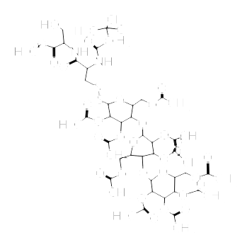 COC(=O)C(CO)NC(=O)C(CSSC1OC(COC(C)=O)C(OC2OC(COC(C)=O)C(OC3OC(COC(C)=O)C(OC(C)=O)C(OC(C)=O)C3OC(C)=O)C(OC(C)=O)C2OC(C)=O)C(OC(C)=O)C1OC(C)=O)NC(=O)OC(C)(C)C